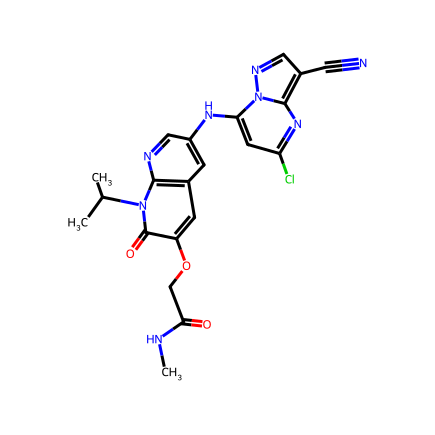 CNC(=O)COc1cc2cc(Nc3cc(Cl)nc4c(C#N)cnn34)cnc2n(C(C)C)c1=O